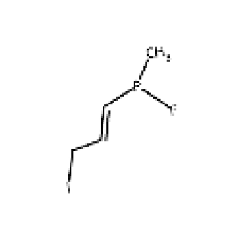 CP(F)C=CCI